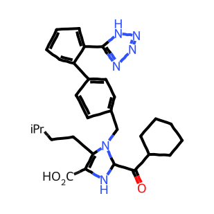 CC(C)CCC1=C(C(=O)O)NC(C(=O)C2CCCCC2)N1Cc1ccc(-c2ccccc2-c2nnn[nH]2)cc1